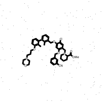 COC(=O)C1CCCCN1Cc1cc(Cl)c(OCc2cccc(-c3cccc(OCCCN4CCOCC4)c3C)c2C)cc1OCc1cccc(C#N)c1